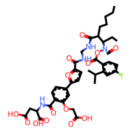 CCCCCC(C(=O)NCNC(=O)c1ccc(-c2ccc(C(=O)NC(CC(=O)O)C(=O)O)c(OCC(=O)O)c2)o1)C(CC)N(C=O)OC(=O)c1ccc(F)cc1C(C)C